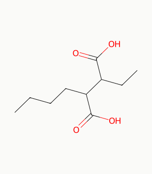 CCCCC(C(=O)O)C(CC)C(=O)O